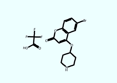 O=C(O)C(F)(F)F.O=c1cc(OC2CCNCC2)c2cc(Br)ccc2o1